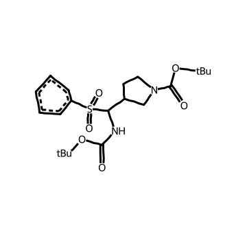 CC(C)(C)OC(=O)NC(C1CCN(C(=O)OC(C)(C)C)C1)S(=O)(=O)c1ccccc1